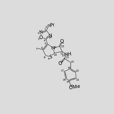 CCCc1noc(C2=C(C)CSC3C(NC(=O)Cc4ccc(OC)cc4)C(=O)N23)n1